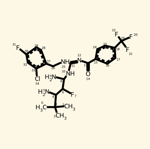 CC(C)(C)C(N)C(F)C(N)N/C(=N\C(=O)c1ccc(C(F)(F)F)cc1)NCc1ccc(F)cc1Cl